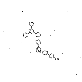 N#Cc1ccc(-c2ccc(C34CC5CC3CC(c3ccc(-c6cccc(-c7cc(-c8ccccc8)nc(-c8ccccc8)c7)c6)cc3)(C5)C4)cc2)cc1